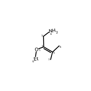 CCOC(CN)=C(C)C